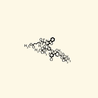 COC(=O)CCCNC(=O)C(F)(F)c1nc(N2C[C@@H](Oc3ncc(Cl)cc3[C@@]3(F)CCN(C(=O)OC(C)(C)C)C[C@@H]3C)C[C@H]2C(=O)OC(C)(C)C)c2oc3ccccc3c2n1